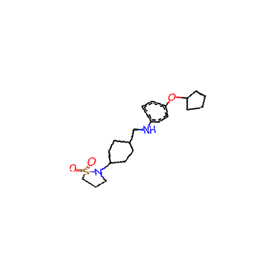 O=S1(=O)CCCN1C1CCC(CNc2ccc(OC3CCCC3)cc2)CC1